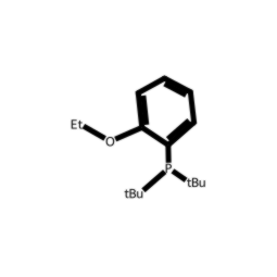 CCOc1ccccc1P(C(C)(C)C)C(C)(C)C